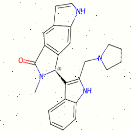 CN1C(=O)c2cc3cc[nH]c3cc2[C@H]1c1c(CN2CCCC2)[nH]c2ccccc12